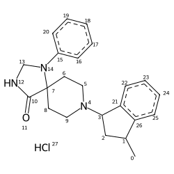 CC1CC(N2CCC3(CC2)C(=O)NCN3c2ccccc2)c2ccccc21.Cl